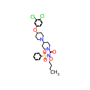 CCCCON(C(=O)N1CCC(N2CCC(Oc3ccc(Cl)c(Cl)c3)CC2)CC1)S(=O)(=O)c1ccccc1